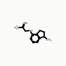 CC1CCc2c(NCC(=N)N)cccc21